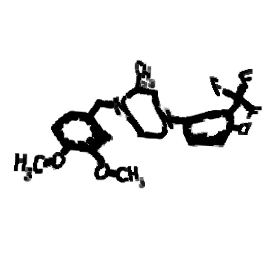 COc1ccc(CN2CCN(c3ccc(Cl)c(C(F)(F)F)c3)C[C@@H]2C)cc1OC